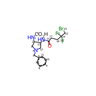 O=C(O)NC1CN(Cc2ccccc2)CC1NC(=O)CCC(F)(F)CBr